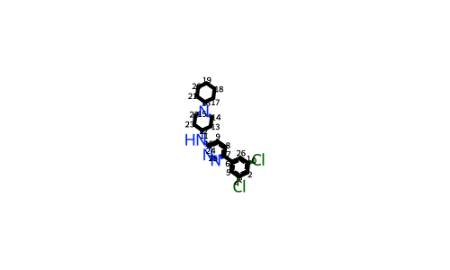 Clc1cc(Cl)cc(-c2ccc(NC3CCN(C4CCCCC4)CC3)nn2)c1